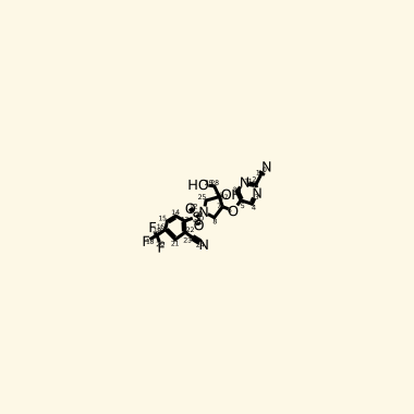 N#Cc1ncc(OC2CN(S(=O)(=O)c3ccc(C(F)(F)F)cc3C#N)C[C@@]2(O)CO)cn1